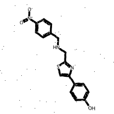 O=[N+]([O-])c1ccc(CNCc2nc(-c3ccc(O)cc3)cs2)cc1